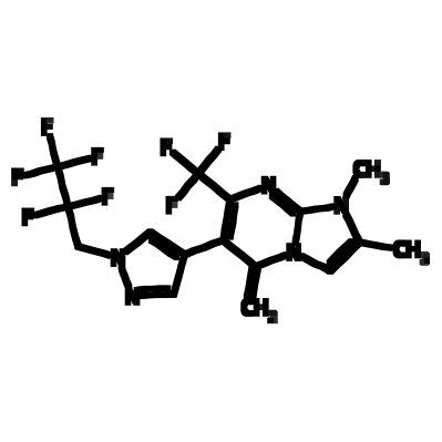 C=C1C(c2cnn(CC(F)(F)C(F)(F)F)c2)=C(C(F)(F)F)N=C2N(C)C(C)=CN12